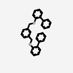 c1ccc(-c2ccccc2OCc2cccc(COc3ccccc3-c3ccccc3)c2)cc1